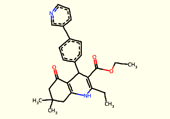 CCOC(=O)C1=C(CC)NC2=C(C(=O)CC(C)(C)C2)C1c1ccc(-c2cccnc2)cc1